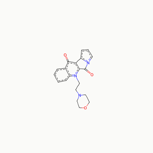 O=C1c2c(c(=O)c3ccccc3n2CCN2CCOCC2)-c2cccn21